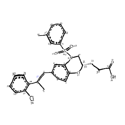 C/C(=C\c1ccc2c(c1)N(S(=O)(=O)c1cccc(C)c1)C[C@H](CCC(=O)O)O2)c1ccccc1Cl